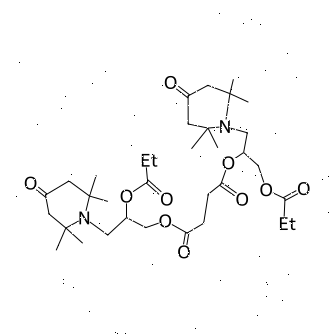 CCC(=O)OCC(CN1C(C)(C)CC(=O)CC1(C)C)OC(=O)CCC(=O)OCC(CN1C(C)(C)CC(=O)CC1(C)C)OC(=O)CC